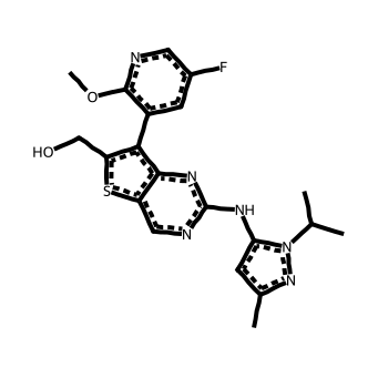 COc1ncc(F)cc1-c1c(CO)sc2cnc(Nc3cc(C)nn3C(C)C)nc12